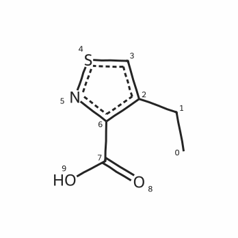 CCc1csnc1C(=O)O